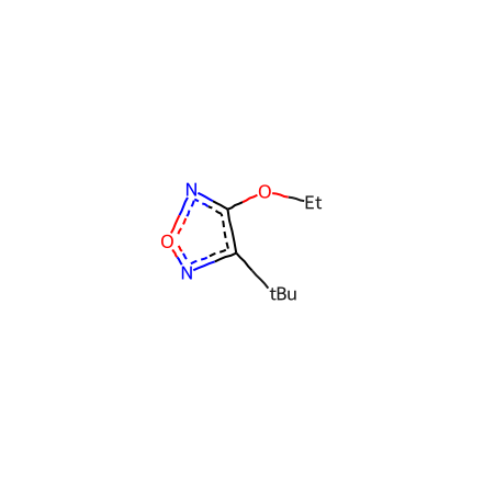 CCOc1nonc1C(C)(C)C